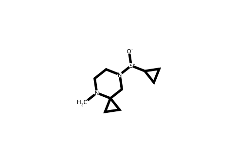 CN1CCN([S+]([O-])C2CC2)CC12CC2